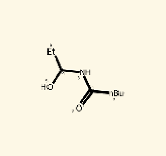 CCC[CH]C(=O)NC(O)CC